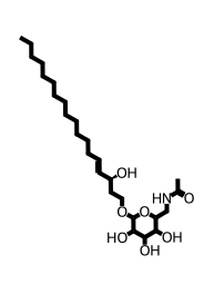 CCCCCCCCCCCCC/C=C/[C@@H](O)CCOC1OC(CNC(C)=O)C(O)C(O)C1O